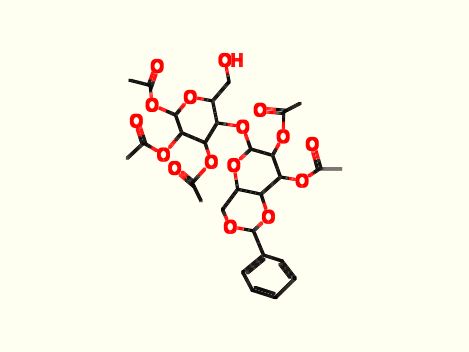 CC(=O)OC1OC(CO)C(OC2OC3COC(c4ccccc4)OC3C(OC(C)=O)C2OC(C)=O)C(OC(C)=O)C1OC(C)=O